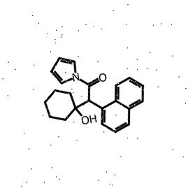 O=C(C(c1cccc2ccccc12)C1(O)CCCCC1)n1cccc1